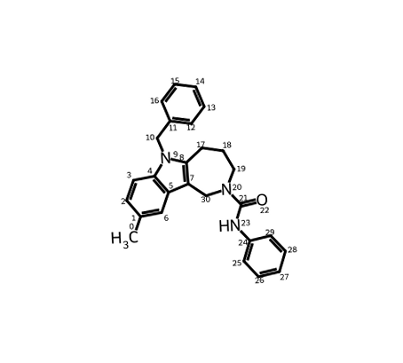 Cc1ccc2c(c1)c1c(n2Cc2ccccc2)CCCN(C(=O)Nc2ccccc2)C1